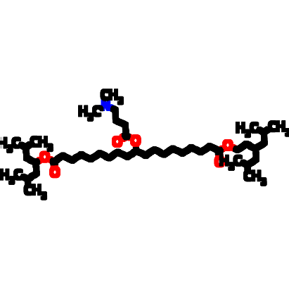 CC(C)CC(CCOC(=O)CCCCCCCCC(CCCCCCCCC(=O)OC(CC(C)C)CC(C)C)OC(=O)CCCN(C)C)CC(C)C